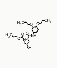 C=CCOC(=O)N1CC(S)CC1C(=O)Nc1ccc(OCC=C)c(OCC=C)c1